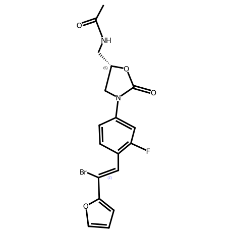 CC(=O)NC[C@H]1CN(c2ccc(/C=C(\Br)c3ccco3)c(F)c2)C(=O)O1